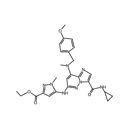 CCOC(=O)c1cc(Nc2cc(N(C)Cc3ccc(OC)cc3)c3ncc(C(=O)NC4CC4)n3n2)n(C)n1